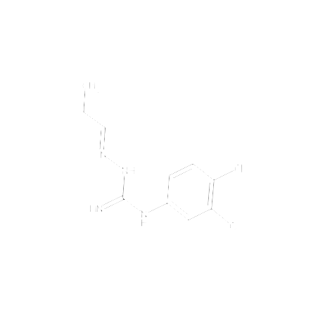 CCC=NNC(=N)Nc1ccc(Cl)c(Cl)c1